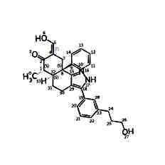 C[C@@H]1C(=O)/C(=C\O)C[C@]2(c3ccccc3)c3n[nH]c(-c4cccc(CCCO)c4)c3CC[C@@H]12